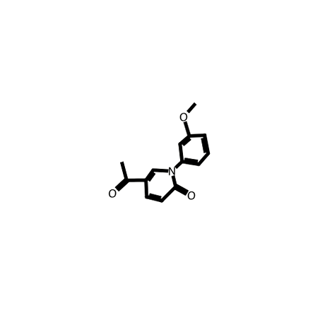 COc1cccc(-n2cc(C(C)=O)ccc2=O)c1